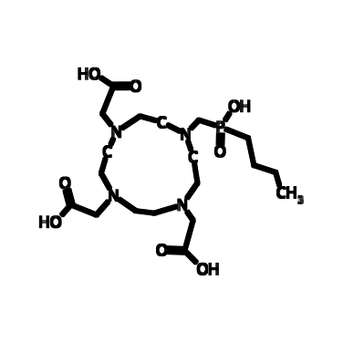 CCCCP(=O)(O)CN1CCN(CC(=O)O)CCN(CC(=O)O)CCN(CC(=O)O)CC1